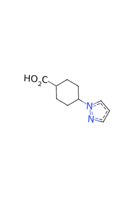 O=C(O)C1CCC(n2cccn2)CC1